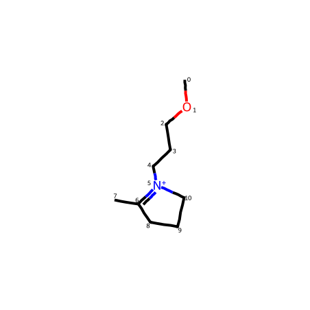 COCCC[N+]1=C(C)CCC1